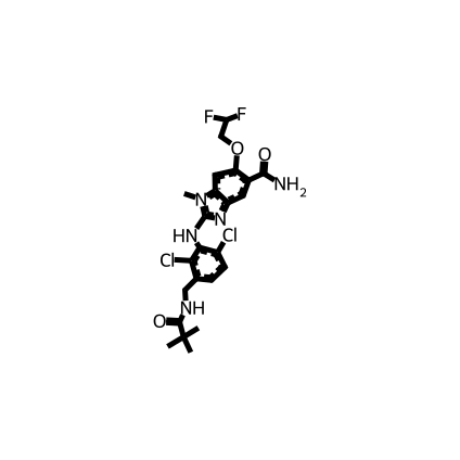 Cn1c(Nc2c(Cl)ccc(CNC(=O)C(C)(C)C)c2Cl)nc2cc(C(N)=O)c(OCC(F)F)cc21